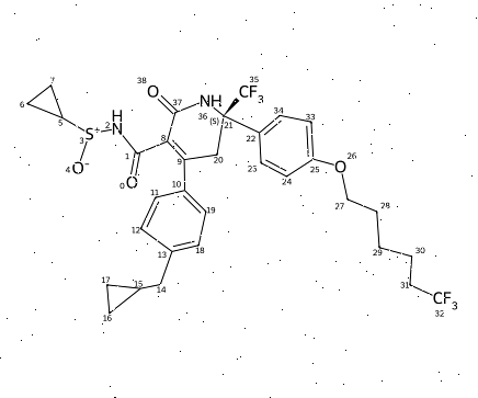 O=C(N[S+]([O-])C1CC1)C1=C(c2ccc(CC3CC3)cc2)C[C@](c2ccc(OCCCCCC(F)(F)F)cc2)(C(F)(F)F)NC1=O